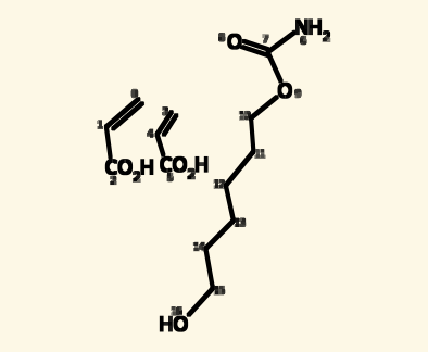 C=CC(=O)O.C=CC(=O)O.NC(=O)OCCCCCCO